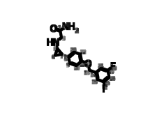 NC(=O)CN[C@@H]1C[C@H]1c1ccc(OCc2cc(F)cc(F)c2)cc1